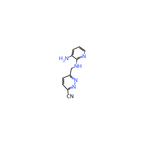 N#Cc1ccc(CNc2ncccc2N)nn1